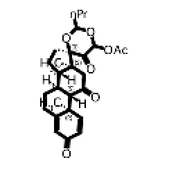 CCCC1OC(OC(C)=O)C(=O)[C@]2(CC[C@H]3[C@@H]4CCC5=CC(=O)C=C[C@]5(C)[C@H]4C(=O)C[C@@]32C)O1